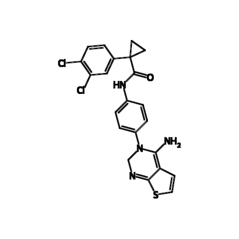 NC1=c2ccsc2=NCN1c1ccc(NC(=O)C2(c3ccc(Cl)c(Cl)c3)CC2)cc1